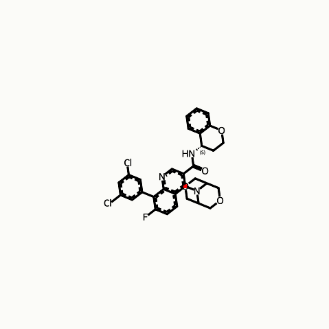 O=C(N[C@H]1CCOc2ccccc21)c1cnc2c(-c3cc(Cl)cc(Cl)c3)c(F)ccc2c1N1C2COCC1COC2